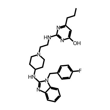 CCCc1cc(O)nc(NCCN2CCC(Nc3nc4ccccc4n3Cc3ccc(F)cc3)CC2)n1